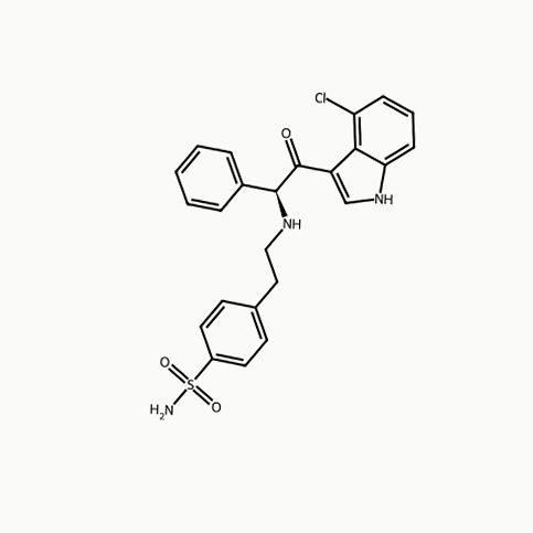 NS(=O)(=O)c1ccc(CCN[C@H](C(=O)c2c[nH]c3cccc(Cl)c23)c2ccccc2)cc1